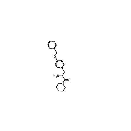 NC(Cc1ccc(OCc2ccccc2)cc1)C(=O)N1CCCCC1